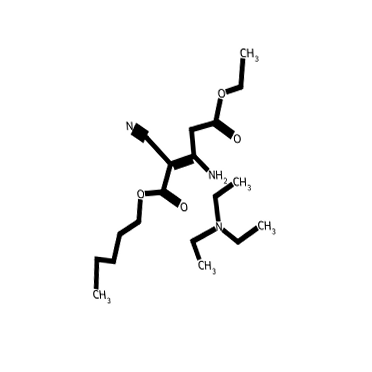 CCCCCOC(=O)C(C#N)=C(N)CC(=O)OCC.CCN(CC)CC